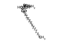 CCCCCCCCCCCCCCCCCCCCCCCCC(=O)O[C@H](CO)COP(=O)(O)OCCN